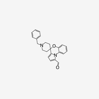 O=Cc1ccc2n1-c1ccccc1OC21CCN(Cc2ccccc2)CC1